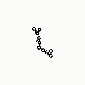 CC1(C)c2cc(-c3cccc(-c4ccc(-c5cnc6c7ccccc7c7ccccc7c6n5)cc4)c3)ccc2-c2ccc(-c3ccc4c(c3)c3ccccc3n4-c3ccccc3)cc21